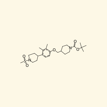 Cc1c(OCC2CCN(C(=O)OC(C)(C)C)CC2)ccc(C2CCN(S(C)(=O)=O)CC2)c1C